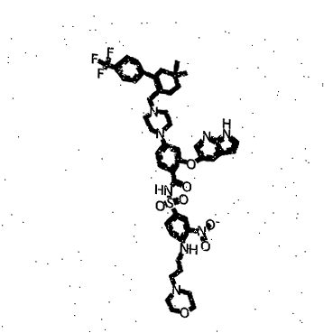 CC1(C)CCC(CN2CCN(c3ccc(C(=O)NS(=O)(=O)c4ccc(NCCCN5CCOCC5)c([N+](=O)[O-])c4)c(Oc4cnc5[nH]ccc5c4)c3)CC2)=C(c2ccc(C(F)(F)F)cc2)C1